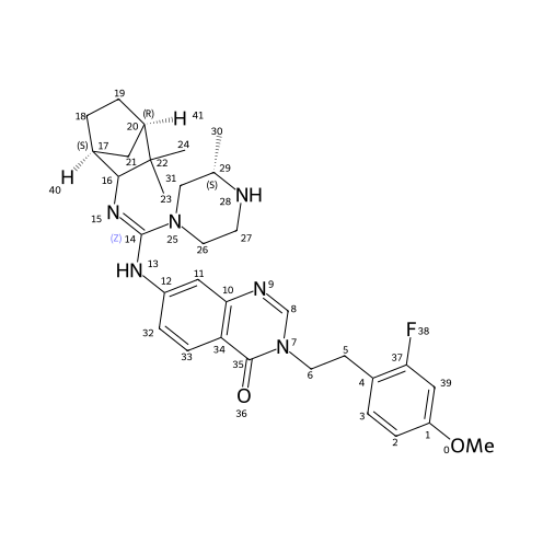 COc1ccc(CCn2cnc3cc(N/C(=N/C4[C@H]5CC[C@H](C5)C4(C)C)N4CCN[C@@H](C)C4)ccc3c2=O)c(F)c1